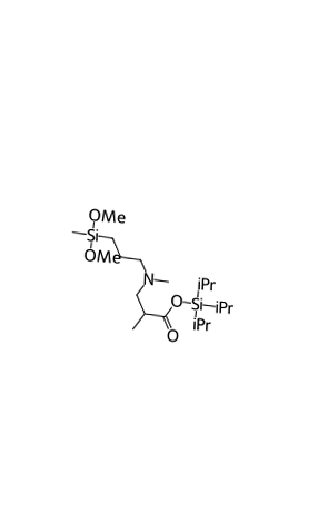 CO[Si](C)(CCCN(C)CC(C)C(=O)O[Si](C(C)C)(C(C)C)C(C)C)OC